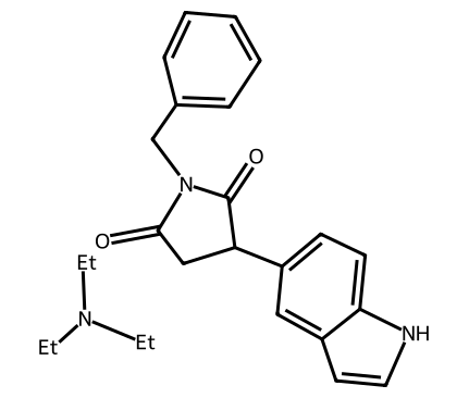 CCN(CC)CC.O=C1CC(c2ccc3[nH]ccc3c2)C(=O)N1Cc1ccccc1